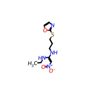 CCNC(=C[N+](=O)[O-])NCCCSc1ncco1